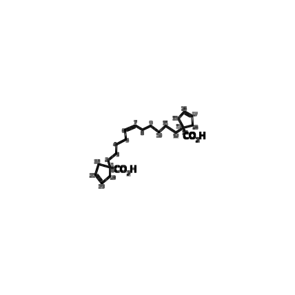 O=C(O)C1(CCCC/C=C\CCCCCC2(C(=O)O)CC=CC2)CC=CC1